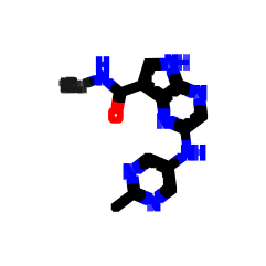 Cc1ncc(Nc2cnc3[nH]cc(C(=O)NC(C)(C)C)c3n2)cn1